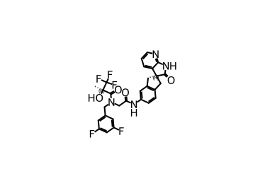 C[C@@](O)(C(=O)N(CC(=O)Nc1ccc2c(c1)C[C@@]1(C2)C(=O)Nc2ncccc21)Cc1cc(F)cc(F)c1)C(F)(F)F